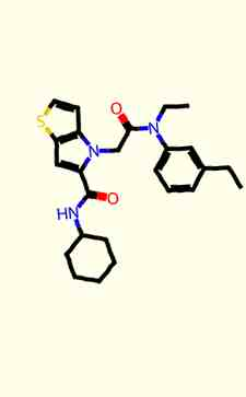 CCc1cccc(N(CC)C(=O)Cn2c(C(=O)NC3CCCCC3)cc3sccc32)c1